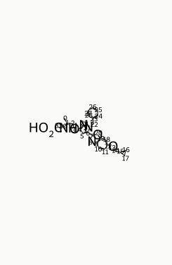 C[C@@H](COc1cc(-c2nc3ccc(OCC4CC4)cc3o2)n(Cc2ccccc2)n1)NC(=O)O